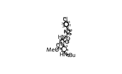 COC(=O)[C@@H]1C[C@H](NC(C)(C)C)CC[C@@H]1N1CC[C@H](NC(=O)c2nc(-c3ccc(Cl)cc3)cs2)C1=O